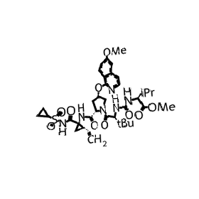 C=C[C@@H]1C[C@]1(NC(=O)[C@@H]1C[C@@H](Oc2nccc3cc(OC)ccc23)CN1C(=O)[C@@H](NC(=O)N[C@H](C(=O)OC)C(C)C)C(C)(C)C)C(=O)NS(=O)(=O)C1CC1